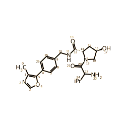 Cc1ncoc1-c1ccc(CNC(=O)[C@@H]2C[C@@H](O)CN2C(=O)C(N)C(C)C)cc1